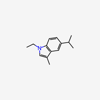 CCn1cc(C)c2cc(C(C)C)ccc21